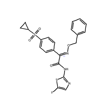 O=C(Nc1ncc(F)s1)/C(=N/OCc1ccccc1)c1ccc(S(=O)(=O)C2CC2)cc1